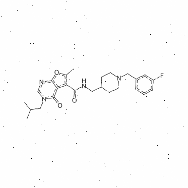 Cc1oc2ncn(CC(C)C)c(=O)c2c1C(=O)NCC1CCN(Cc2cccc(F)c2)CC1